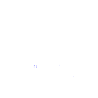 Fc1ccccc1C1CNCC(n2ccnc2)O1